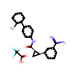 N=C(N)c1cccc([C@H]2C[C@H]2C(=O)Nc2ccc(-c3ccccc3C(F)(F)F)cc2)c1.O=C(O)C(F)(F)F